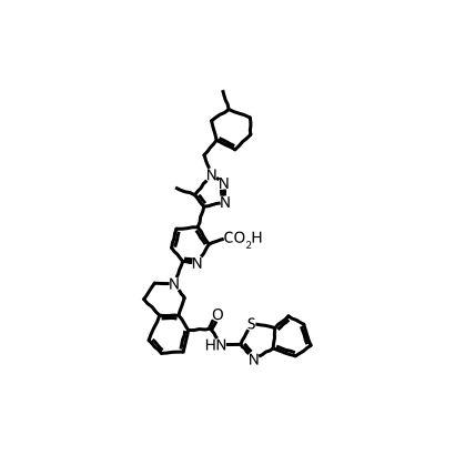 Cc1c(-c2ccc(N3CCc4cccc(C(=O)Nc5nc6ccccc6s5)c4C3)nc2C(=O)O)nnn1CC1=CCCC(C)C1